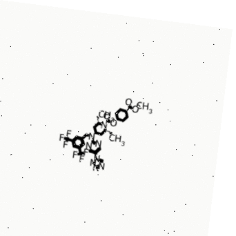 CC[C@@H]1C[C@H](N(Cc2cc(C(F)(F)F)cc(C(F)(F)F)c2)c2ncc(-n3cnnn3)cn2)C[C@H](CC)N1C(=O)O[C@H]1CC[C@H](C(=O)OC)CC1